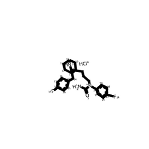 Cl.NC(=O)N(CCCC1NC2CCC1(Cc1ccc(F)cc1)CC2)c1ccc(F)cc1